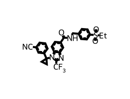 CCS(=O)(=O)c1ccc(CNC(=O)c2ccc3c(c2)nc(C(F)(F)F)n3C2(c3cccc(C#N)c3)CC2)cc1